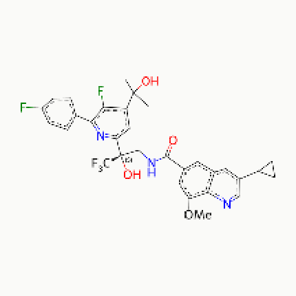 COc1cc(C(=O)NC[C@](O)(c2cc(C(C)(C)O)c(F)c(-c3ccc(F)cc3)n2)C(F)(F)F)cc2cc(C3CC3)cnc12